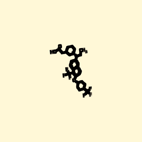 CCC(c1ccc2c(C(F)(F)F)c(OC3CCC(C(F)(F)F)CC3)ccc2c1)N1CCCC(CC(=O)O)C1